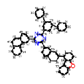 C1=C(c2cccc3oc4ccccc4c23)CCc2ccc(-c3nc(-c4cc(-c5ccccc5)cc(-c5ccccc5)c4)nc(-c4ccc5ccc6ccccc6c5c4)n3)cc21